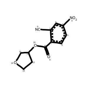 N#Cc1cc([N+](=O)[O-])ccc1C(=O)OC1CCOC1